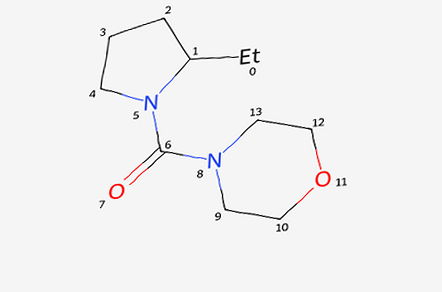 CCC1CCCN1C(=O)N1CCOCC1